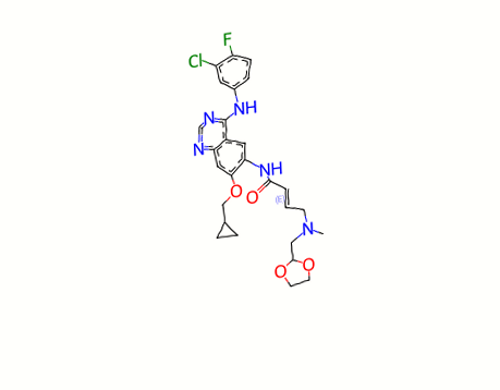 CN(C/C=C/C(=O)Nc1cc2c(Nc3ccc(F)c(Cl)c3)ncnc2cc1OCC1CC1)CC1OCCO1